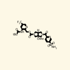 CO[C@@]12CN(C(=O)OCc3ncc(C(F)(F)F)cc3NC(=O)C(C)(C)C)C[C@H]1CN(C(=O)c1ccc(S(N)(=O)=O)cn1)C2